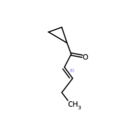 CC/C=C/C(=O)C1CC1